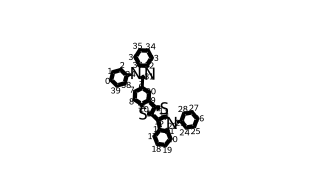 c1ccc(-n2c(-c3ccc4sc5c(sc6c5c5ccccc5n6-c5ccccc5)c4c3)nc3ccccc32)cc1